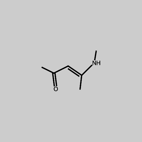 CNC(C)=CC(C)=O